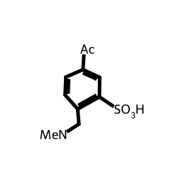 CNCc1ccc(C(C)=O)cc1S(=O)(=O)O